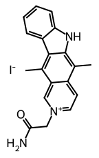 Cc1c2cc[n+](CC(N)=O)cc2c(C)c2c1[nH]c1ccccc12.[I-]